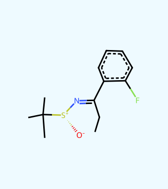 CC/C(=N\[S@+]([O-])C(C)(C)C)c1ccccc1F